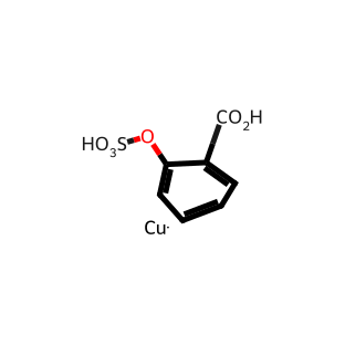 O=C(O)c1ccccc1OS(=O)(=O)O.[Cu]